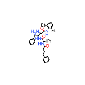 CCc1cccc(CC)c1NC(=O)C[C@H](N)[C@H](Cc1ccccc1)NC(=O)C(NC(=O)CCCc1ccccc1)C(C)C